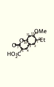 CCc1cc2cc(C(=O)O)c(=O)oc2cc1OC